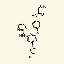 O=C(CC(F)(F)F)Nc1ccc(Sc2nc(Nc3ncns3)cc(N3CC[C@H](F)C3)n2)cc1